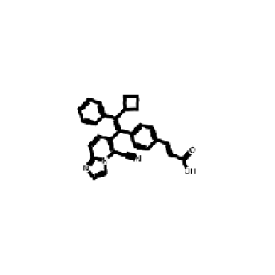 N#Cc1c(C(=C(c2ccccc2)C2CCC2)c2ccc(C=CC(=O)O)cc2)ccc2nccn12